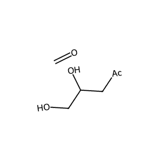 C=O.CC(=O)CC(O)CO